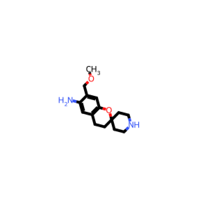 COCc1cc2c(cc1N)CCC1(CCNCC1)O2